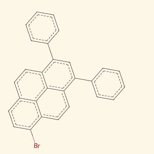 Brc1ccc2ccc3c(-c4ccccc4)cc(-c4ccccc4)c4ccc1c2c34